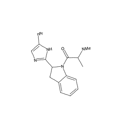 CCCc1cnc(C2Cc3ccccc3N2C(=O)C(C)NC)[nH]1